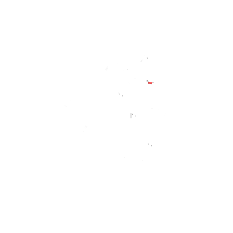 C=C(Nc1nc(C)c(C)s1)N1c2nc(-c3cccc(C(C)(F)F)c3)ccc2N2CCC1CC2